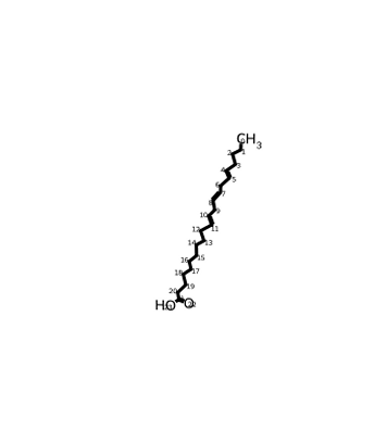 CCCCC=CCC=CCC=CCCCCCCCCCC(=O)O